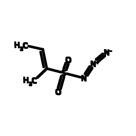 C/C=C(\C)S(=O)(=O)N=[N+]=[N-]